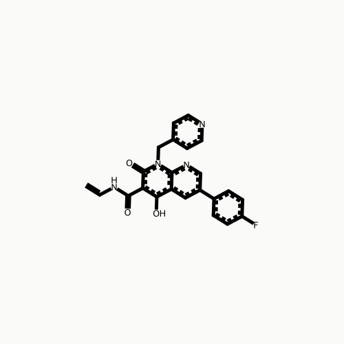 C=CNC(=O)c1c(O)c2cc(-c3ccc(F)cc3)cnc2n(Cc2ccncc2)c1=O